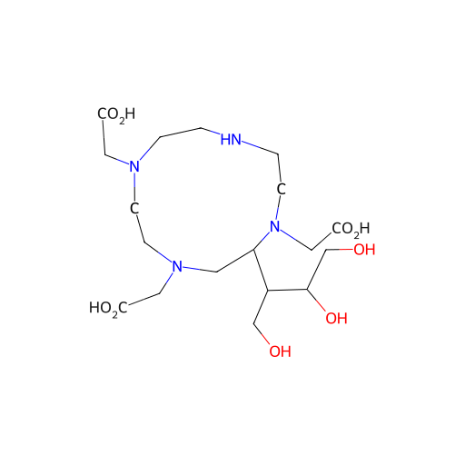 O=C(O)CN1CCNCCN(CC(=O)O)C(C(CO)C(O)CO)CN(CC(=O)O)CC1